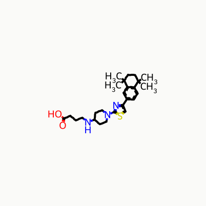 CC1(C)CCC(C)(C)c2cc(-c3csc(N4CCC(NCCCC(=O)O)CC4)n3)ccc21